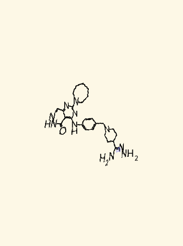 N/N=C(\N)C1CCN(Cc2ccc(Nc3nc(N4CCCCCC4)nc4cn[nH]c(=O)c34)cc2)CC1